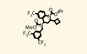 COC(=O)N(Cc1cc(C(F)(F)F)cc(C(F)(F)F)c1)C1CC(C2CCC2)N(C(=O)OC(C)C)c2ccc(C(F)(F)F)cc21